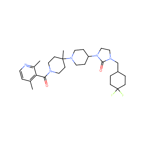 Cc1ccnc(C)c1C(=O)N1CCC(C)(N2CCC(N3CCN(CC4CCC(F)(F)CC4)C3=O)CC2)CC1